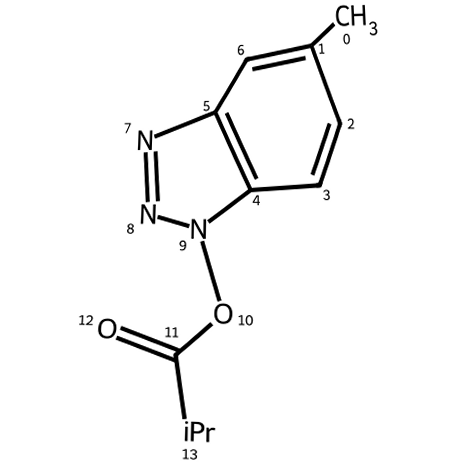 Cc1ccc2c(c1)nnn2OC(=O)C(C)C